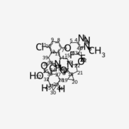 Cn1nnc(COc2ccc(Cl)c3c2[C@@H](CN2CC4(CC4)CC2=O)N(C(=O)[C@@H]2C[C@H]4C[C@H]4C[C@]2(C)C(=O)O)CC3)c1C(F)F